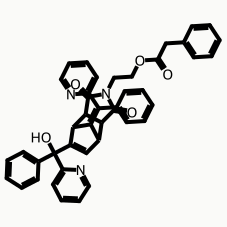 O=C(Cc1ccccc1)OCCN1C(=O)C2C3C=C(C(O)(c4ccccc4)c4ccccn4)C(C3=C(c3ccccc3)c3ccccn3)C2C1=O